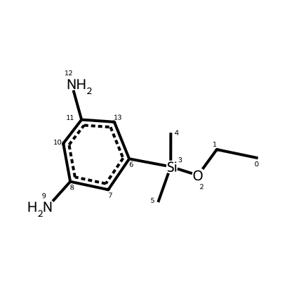 CCO[Si](C)(C)c1cc(N)cc(N)c1